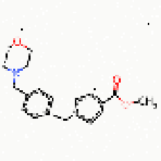 COC(=O)c1ccc(Cc2ccc(CN3CCOCC3)cc2)cc1